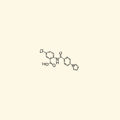 O=C(Nc1ccc(Cl)cc1C(=O)O)c1ccc(-n2cccc2)cc1